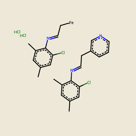 Cc1cc(C)c(N=CCc2cccnc2)c(Cl)c1.Cc1cc(C)c(N=C[CH2][Fe])c(Cl)c1.Cl.Cl